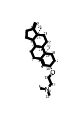 C=C1CCC2C3CCC4=C[C@@H](OCCN(C)C)CC[C@]4(C)C3CC[C@]12C